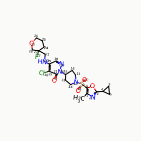 Cc1nc(C2CC2)oc1S(=O)(=O)N1CCC(n2ncc(NCC3(F)CCCOC3)c(Cl)c2=O)CC1